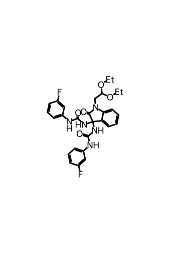 CCOC(CN1C(=O)C(NC(=O)Nc2cccc(F)c2)(NC(=O)Nc2cccc(F)c2)c2ccccc21)OCC